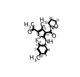 CC(=O)c1sc(Nc2ccc(C)cc2F)c(C(=O)N2CCCO2)c1C